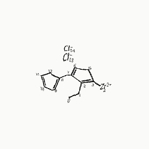 CCC1=[C]([Zr+2])CC=C1C1=CC=CC1.[Cl-].[Cl-]